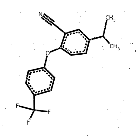 CC(C)c1ccc(Oc2ccc(C(F)(F)F)cc2)c(C#N)c1